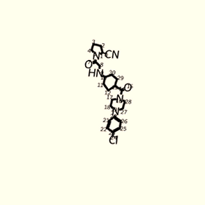 N#C[C@@H]1CCCN1C(=O)CNC1CCC(C(=O)N2CCN(c3ccc(Cl)cc3)CC2)CC1